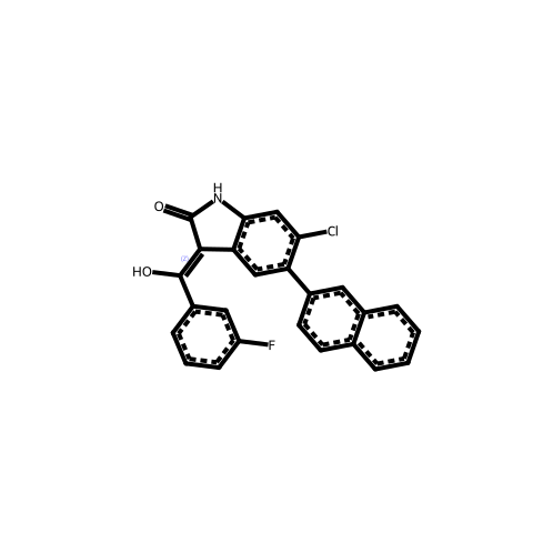 O=C1Nc2cc(Cl)c(-c3ccc4ccccc4c3)cc2/C1=C(/O)c1cccc(F)c1